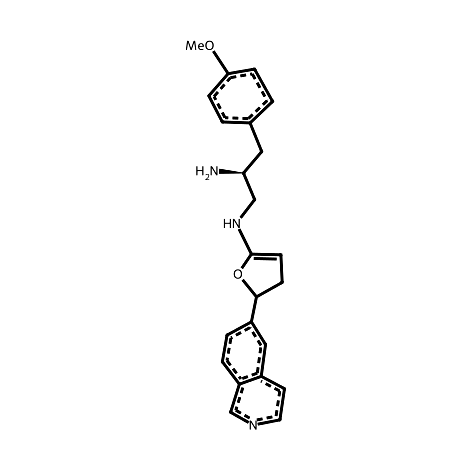 COc1ccc(C[C@H](N)CNC2=CCC(c3ccc4cnccc4c3)O2)cc1